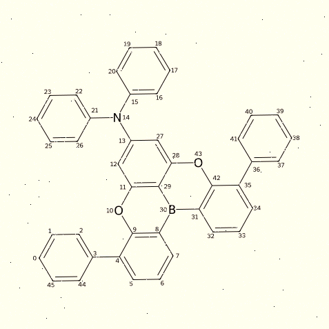 c1ccc(-c2cccc3c2Oc2cc(N(c4ccccc4)c4ccccc4)cc4c2B3c2cccc(-c3ccccc3)c2O4)cc1